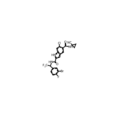 N#CC1(NC(=O)c2cc3cc(C(=O)NC(c4ccc(F)c(Br)c4)C(F)(F)F)[nH]c3cc2Cl)CC1